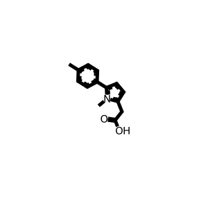 Cc1ccc(-c2ccc(CC(=O)O)n2C)cc1